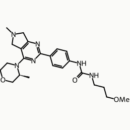 COCCCNC(=O)Nc1ccc(-c2nc3c(c(N4CCOC[C@@H]4C)n2)CN(C)C3)cc1